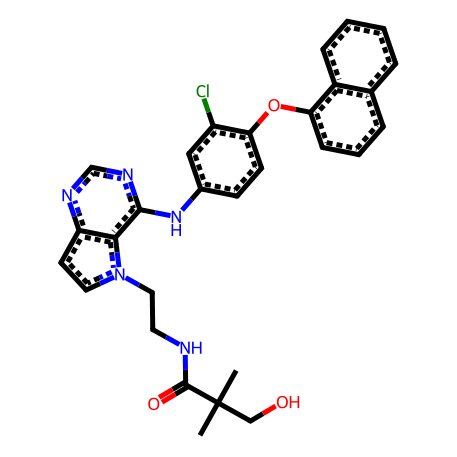 CC(C)(CO)C(=O)NCCn1ccc2ncnc(Nc3ccc(Oc4cccc5ccccc45)c(Cl)c3)c21